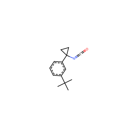 CC(C)(C)c1cccc(C2(N=C=O)CC2)c1